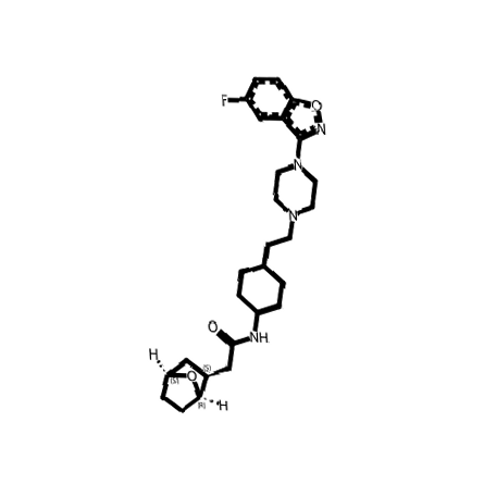 O=C(C[C@@H]1C[C@@H]2CC[C@H]1O2)NC1CCC(CCN2CCN(c3noc4ccc(F)cc34)CC2)CC1